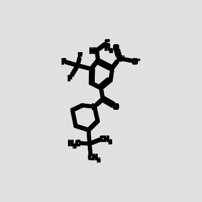 CNc1c([N+](=O)[O-])cc(C(=O)N2CCCC(C(C)(C)C)C2)cc1C(F)(F)F